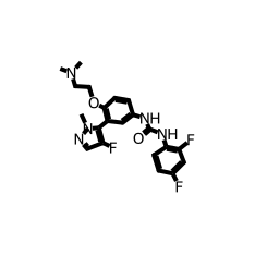 CN(C)CCOc1ccc(NC(=O)Nc2ccc(F)cc2F)cc1-c1c(F)cnn1C